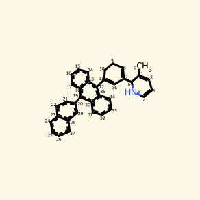 CC1=CC=CNC1C1=CCCC(c2c3ccccc3c(-c3ccc4ccccc4c3)c3ccccc23)=C1